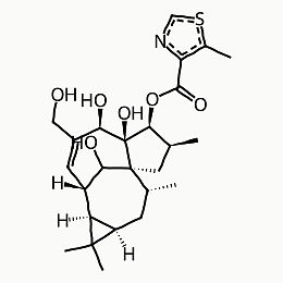 Cc1scnc1C(=O)O[C@H]1[C@@H](C)C[C@]23C(O)[C@@H](C=C(CO)[C@@H](O)[C@]12O)[C@H]1[C@@H](C[C@H]3C)C1(C)C